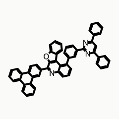 c1ccc(-c2cc(-c3ccccc3)nc(-c3cccc(-c4cccc5nc(-c6ccc7c8ccccc8c8ccccc8c7c6)c6oc7ccccc7c6c45)c3)n2)cc1